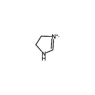 C1=[N+]CCN1